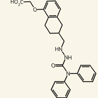 O=C(O)COc1cccc2c1CCC(CNNC(=O)N(c1ccccc1)c1ccccc1)C2